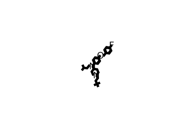 CC(C)CCN(c1ccc(OCc2ccc(F)cc2)cc1)C1CCN(CCC(C)(C)C)CC1